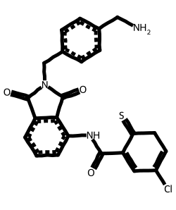 NCc1ccc(CN2C(=O)c3cccc(NC(=O)C4=CC(Cl)=CCC4=S)c3C2=O)cc1